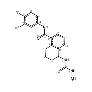 CNC(=O)NC1CCCc2c(C(=O)Nc3ccc(F)c(F)c3)cccc21